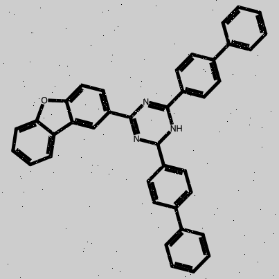 c1ccc(-c2ccc(C3=NC(c4ccc5oc6ccccc6c5c4)=NC(c4ccc(-c5ccccc5)cc4)N3)cc2)cc1